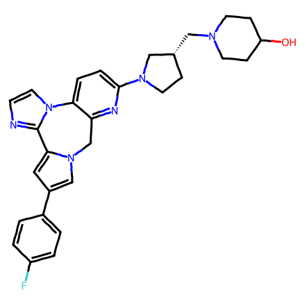 OC1CCN(C[C@@H]2CCN(c3ccc4c(n3)Cn3cc(-c5ccc(F)cc5)cc3-c3nccn3-4)C2)CC1